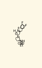 CCS(=O)(=O)N[C@H]1CCCN(C(=O)C[C@H](N)Cc2cc(F)c(F)cc2F)C1